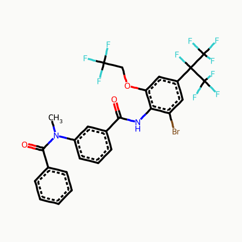 CN(C(=O)c1ccccc1)c1cccc(C(=O)Nc2c(Br)cc(C(F)(C(F)(F)F)C(F)(F)F)cc2OCC(F)(F)F)c1